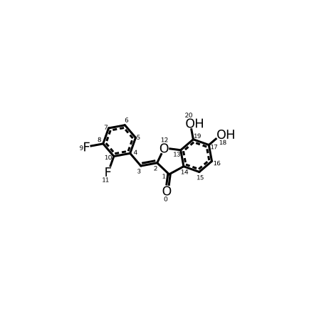 O=C1/C(=C/c2cccc(F)c2F)Oc2c1ccc(O)c2O